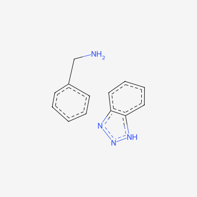 NCc1ccccc1.c1ccc2[nH]nnc2c1